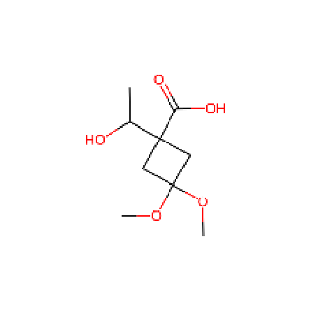 COC1(OC)CC(C(=O)O)(C(C)O)C1